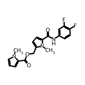 Cn1cccc1C(=O)OCc1ccc(C(=O)Nc2ccc(F)c(F)c2)n1C